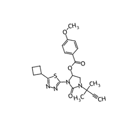 C#CC(C)(C)N1CC(OC(=O)c2ccc(OC)cc2)N(c2nnc(C3CCC3)s2)C1=O